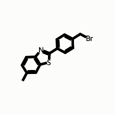 Cc1ccc2nc(-c3ccc(CBr)cc3)sc2c1